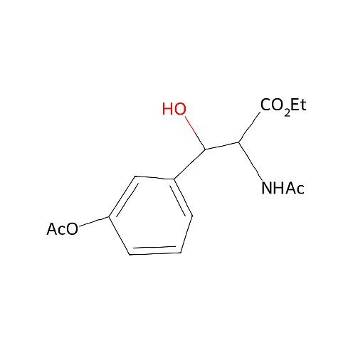 CCOC(=O)C(NC(C)=O)C(O)c1cccc(OC(C)=O)c1